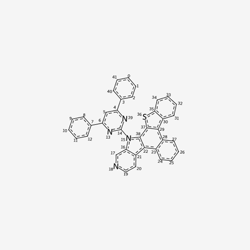 c1ccc(-c2cc(-c3ccccc3)nc(-n3c4cnccc4c4c5ccccc5c5c6ccccc6sc5c43)n2)cc1